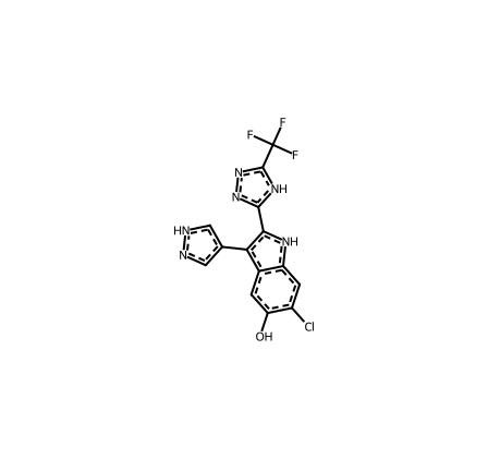 Oc1cc2c(-c3cn[nH]c3)c(-c3nnc(C(F)(F)F)[nH]3)[nH]c2cc1Cl